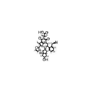 Cc1c(-c2ncco2)sc2c1c(=O)n(C(C)(C)C(=O)O)c(=O)n2CC(O[C@H]1CC2C[C@@H](O)C[C@H]2C1)c1ccccc1CC#N